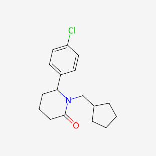 O=C1CCCC(c2ccc(Cl)cc2)N1CC1CCCC1